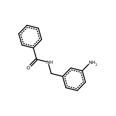 Nc1cccc(CNC(=O)c2ccccc2)c1